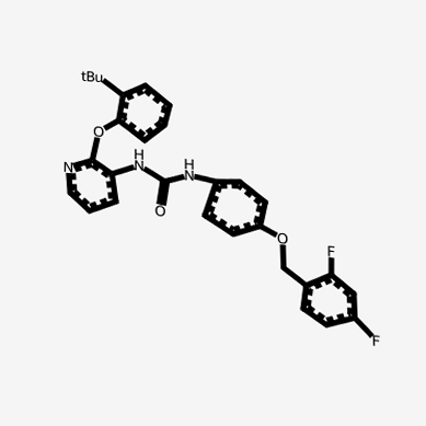 CC(C)(C)c1ccccc1Oc1ncccc1NC(=O)Nc1ccc(OCc2ccc(F)cc2F)cc1